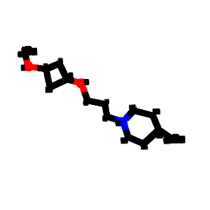 CC(C)(C)OC1CC(OCCCN2CCC(C(C)(C)C)CC2)C1